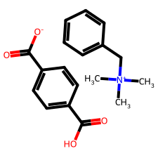 C[N+](C)(C)Cc1ccccc1.O=C([O-])c1ccc(C(=O)O)cc1